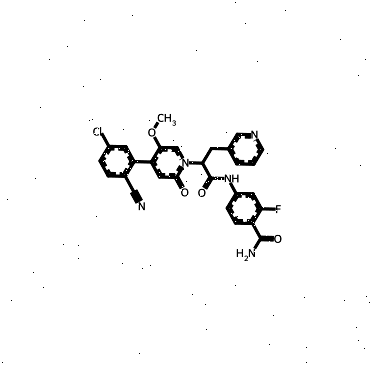 COc1cn(C(Cc2cccnc2)C(=O)Nc2ccc(C(N)=O)c(F)c2)c(=O)cc1-c1cc(Cl)ccc1C#N